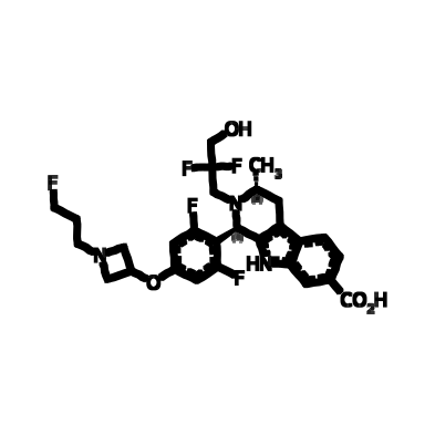 C[C@@H]1Cc2c([nH]c3cc(C(=O)O)ccc23)[C@@H](c2c(F)cc(OC3CN(CCCF)C3)cc2F)N1CC(F)(F)CO